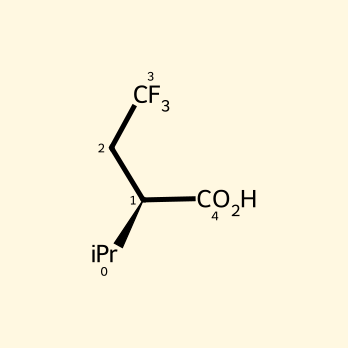 CC(C)[C@@H](CC(F)(F)F)C(=O)O